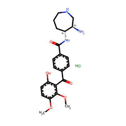 COc1ccc(O)c(C(=O)c2ccc(C(=O)N[C@@H]3CCCNC[C@H]3N)cc2)c1OC.Cl